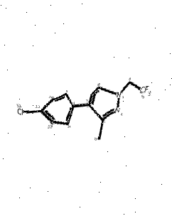 Cc1nn(CC(F)(F)F)cc1-c1ccc(Cl)cc1